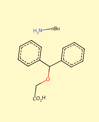 CCCCN.O=C(O)COC(c1ccccc1)c1ccccc1